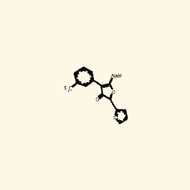 CNC1=C(c2cccc(C(F)(F)F)c2)C(=O)C(c2cccs2)O1